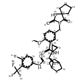 COc1ccc(CN2C(=O)NC3(CCCC3)C2=O)cc1C(=O)N[C@@H]1C2CCC(/C2=C/C2CC2)[C@@H]1C(=O)Nc1ccc(F)c(C(F)(F)F)c1